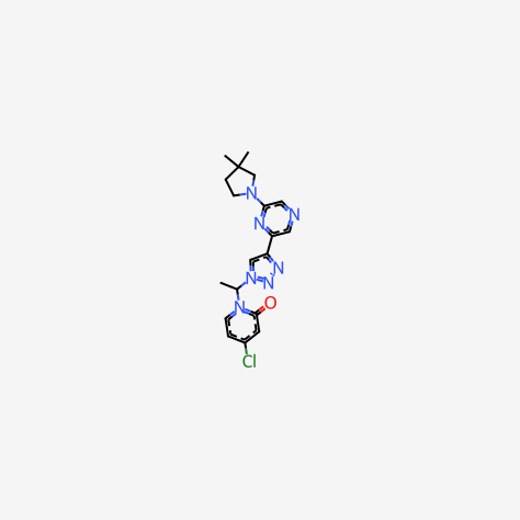 CC(n1cc(-c2cncc(N3CCC(C)(C)C3)n2)nn1)n1ccc(Cl)cc1=O